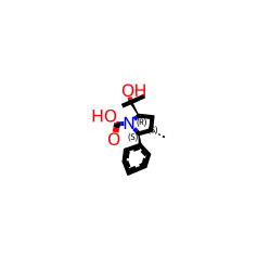 C[C@H]1C[C@H](C(C)(C)O)N(C(=O)O)[C@@H]1c1ccccc1